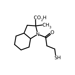 CC1(C(=O)O)CC2CCCCC2N1C(=O)CCS